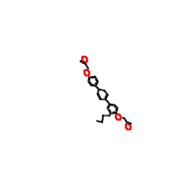 CCCCc1cc(C2=CCC(c3ccc(OCC4CO4)cc3)C=C2)ccc1OCC1CO1